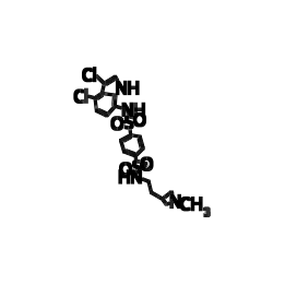 CN1CC(CCNS(=O)(=O)c2ccc(S(=O)(=O)Nc3ccc(Cl)c4c(Cl)c[nH]c34)cc2)C1